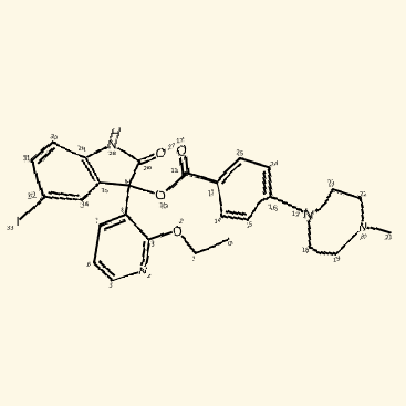 CCOc1ncccc1C1(OC(=O)c2ccc(N3CCN(C)CC3)cc2)C(=O)Nc2ccc(I)cc21